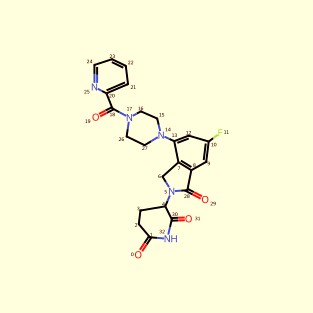 O=C1CCC(N2Cc3c(cc(F)cc3N3CCN(C(=O)c4ccccn4)CC3)C2=O)C(=O)N1